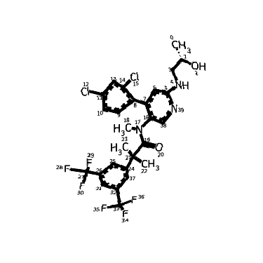 C[C@H](O)CNc1cc(-c2ccc(Cl)cc2Cl)c(N(C)C(=O)C(C)(C)c2cc(C(F)(F)F)cc(C(F)(F)F)c2)cn1